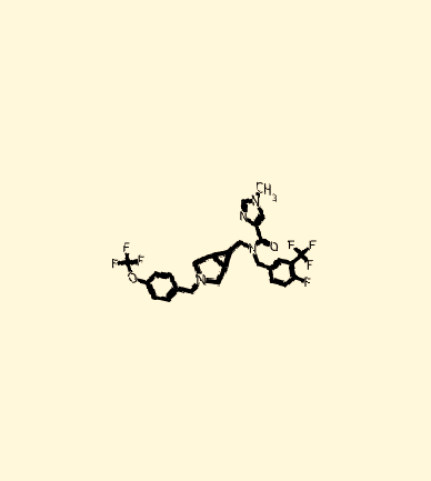 Cn1cnc(C(=O)N(Cc2ccc(F)c(C(F)(F)F)c2)CC2C3CN(Cc4ccc(OC(F)(F)F)cc4)CC32)c1